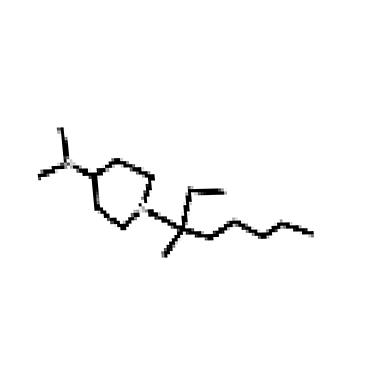 CCCCCC(C)(CC)N1CCC(N(C)C)CC1